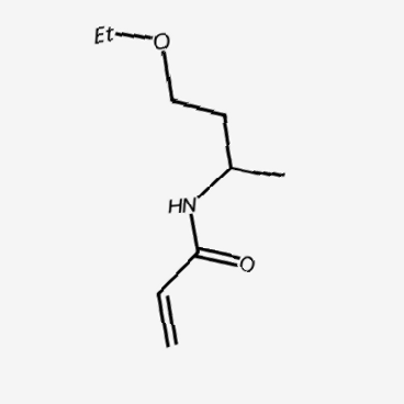 C=CC(=O)NC(C)CCOCC